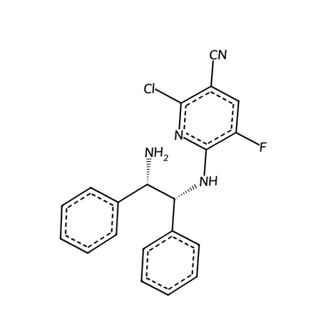 N#Cc1cc(F)c(N[C@H](c2ccccc2)[C@@H](N)c2ccccc2)nc1Cl